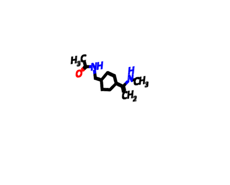 C=C(NC)C1CCC(CNC(C)=O)CC1